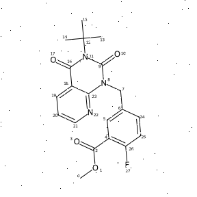 COC(=O)c1cc(Cn2c(=O)n(C(C)(C)C)c(=O)c3cccnc32)ccc1F